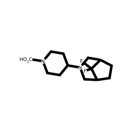 O=C(O)N1CCC(N2CC3CCC(C2)C3(F)F)CC1